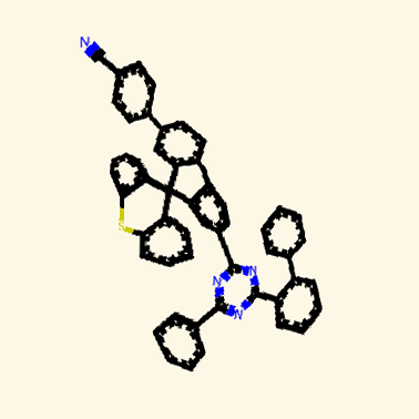 N#Cc1ccc(-c2ccc3c(c2)C2(c4ccccc4Sc4ccccc42)c2cc(-c4nc(-c5ccccc5)nc(-c5ccccc5-c5ccccc5)n4)ccc2-3)cc1